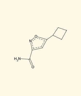 NC(=O)c1cc(C2CCC2)on1